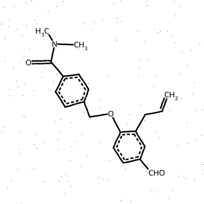 C=CCc1cc(C=O)ccc1OCc1ccc(C(=O)N(C)C)cc1